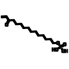 C=CC(=O)CCCCCCCCCCCCOP(=O)(O)O